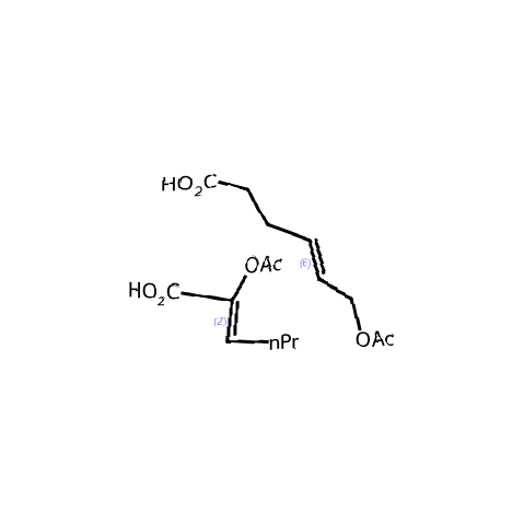 CC(=O)OC/C=C/CCC(=O)O.CCC/C=C(\OC(C)=O)C(=O)O